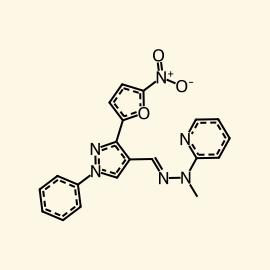 CN(N=Cc1cn(-c2ccccc2)nc1-c1ccc([N+](=O)[O-])o1)c1ccccn1